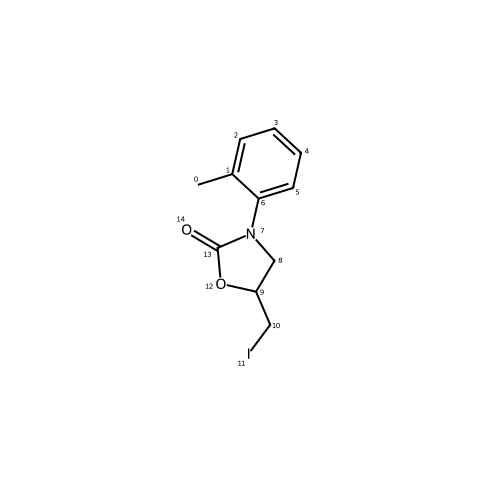 Cc1ccccc1N1CC(CI)OC1=O